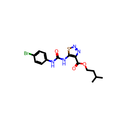 CC(C)CCOC(=O)c1nnsc1NC(=O)Nc1ccc(Br)cc1